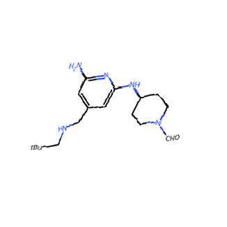 CC(C)(C)CNCc1cc(N)nc(NC2CCN(C=O)CC2)c1